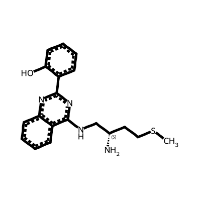 CSCC[C@H](N)CNc1nc(-c2ccccc2O)nc2ccccc12